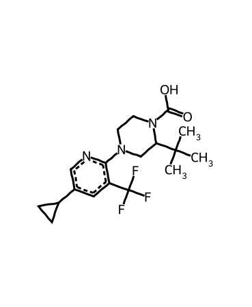 CC(C)(C)C1CN(c2ncc(C3CC3)cc2C(F)(F)F)CCN1C(=O)O